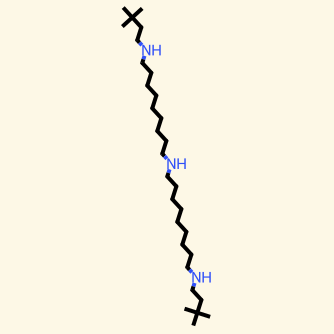 CC(C)(C)CCNCCCCCCCCCNCCCCCCCCCNCCC(C)(C)C